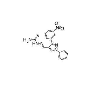 NC(=S)N/N=C/c1cn(-c2ccccc2)nc1-c1cccc([N+](=O)[O-])c1